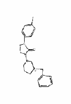 O=C1N(c2ccc(F)cc2)CCN1N1CCC[C@H](Cc2ccccc2)C1